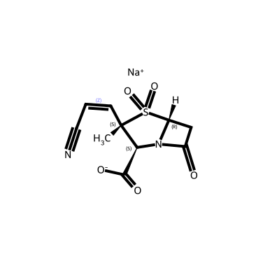 C[C@]1(/C=C\C#N)[C@H](C(=O)[O-])N2C(=O)C[C@H]2S1(=O)=O.[Na+]